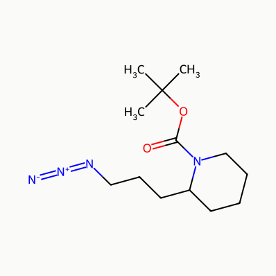 CC(C)(C)OC(=O)N1CCCCC1CCCN=[N+]=[N-]